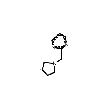 [CH]1CCN(Cc2ncccn2)C1